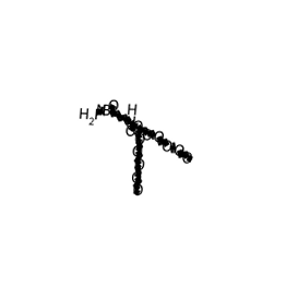 COCCOCCOCCOCCOCC(COCCOCCOCCOCCOC)OC(=O)NCCCCCC(=O)/B=N/P